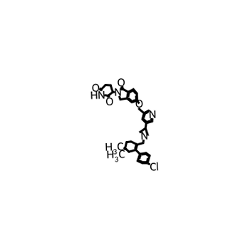 CC1(C)CCC(CN2CC(c3cncc(COc4ccc5c(c4)CN(C4CCC(=O)NC4=O)C5=O)c3)C2)=C(c2ccc(Cl)cc2)C1